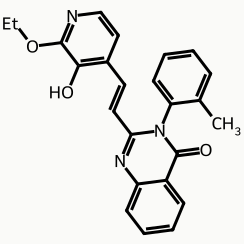 CCOc1nccc(/C=C/c2nc3ccccc3c(=O)n2-c2ccccc2C)c1O